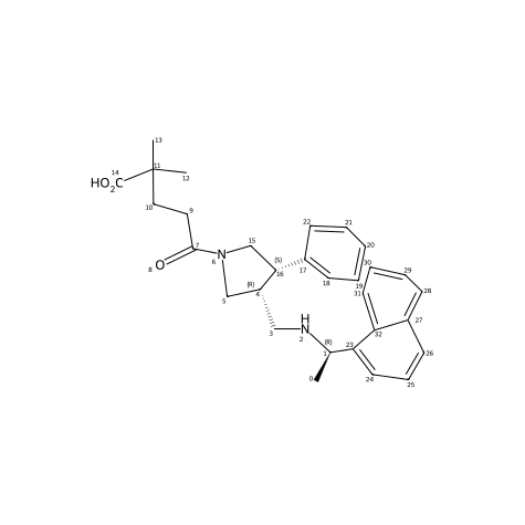 C[C@@H](NC[C@@H]1CN(C(=O)CCC(C)(C)C(=O)O)C[C@@H]1c1ccccc1)c1cccc2ccccc12